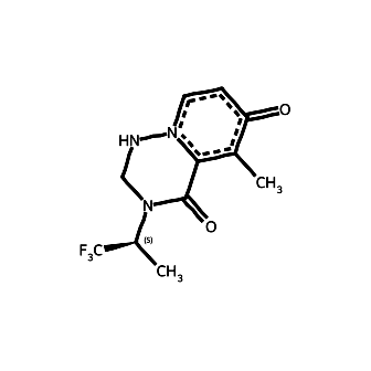 Cc1c2n(ccc1=O)NCN([C@@H](C)C(F)(F)F)C2=O